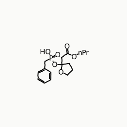 CCCOC(=O)CC1(OP(=O)(O)Cc2ccccc2)CCCO1